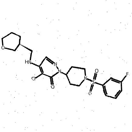 O=c1c(Cl)c(NC[C@@H]2CCCOC2)cnn1C1CCN(S(=O)(=O)c2cccc(F)c2)CC1